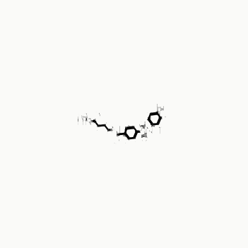 O=C(CCCNC(=O)c1ccc(S(=O)(=O)Nc2ccc(Br)cc2)cc1)NO